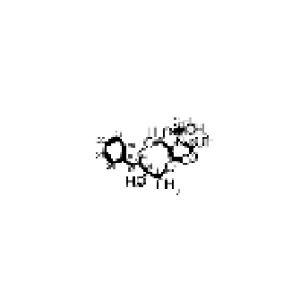 C[C@@H]1OC(=O)[C@@H](N(C(=O)O)C(C)(C)C)COC[C@H](Cc2ccccc2)[C@H]1O